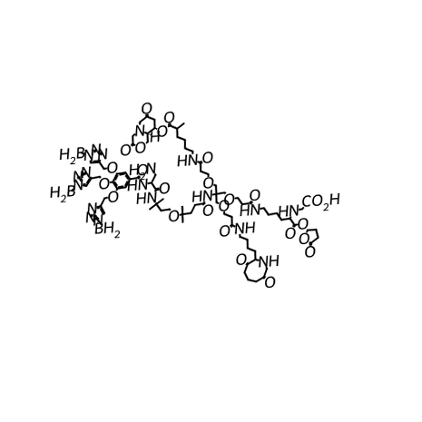 Bn1cc(COc2cc(C(=O)NC(CN)C(=O)NC(C)(C)CCOC(C)(C)CCC(=O)NC(COCCC(=O)NCCCCC(C)C(=O)O[C@@H]3CC(=O)CN4CC(=O)OC[C@H]34)(COCCC(=O)NCCCCC3NCC(=O)CCCC3=O)COCCC(=O)NCCCCC(NCC(=O)O)C(=O)O[C@@H]3CCC(=O)O3)cc(OCc3cn(B)nn3)c2OCc2cn(B)nn2)nn1